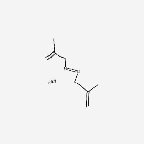 C=C(C)CN=NCC(=C)C.Cl